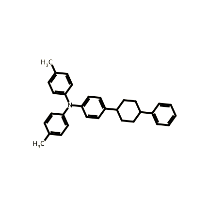 Cc1ccc(N(c2ccc(C)cc2)c2ccc(C3CCC(c4ccccc4)CC3)cc2)cc1